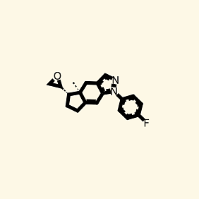 C[C@]12Cc3cnn(-c4ccc(F)cc4)c3C=C1CC[C@@H]2C1CO1